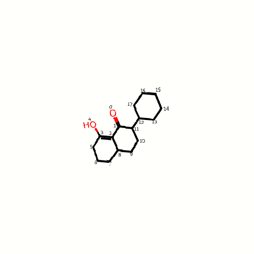 O=C1C2=C(O)CCCC2CCC1C1CCCCC1